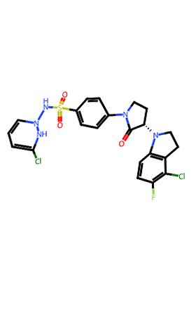 O=C1[C@@H](N2CCc3c2ccc(F)c3Cl)CCN1c1ccc(S(=O)(=O)NN2C=CC=C(Cl)N2)cc1